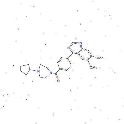 COc1cc2ncnc([C]3C=CC(C(=O)N4CCN(C5CCCC5)CC4)=CC3)c2cc1OC